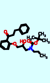 CCCN(CC(O)COc1ccccc1C(=O)CCc1ccccc1)C(=O)OC(C)(C)C